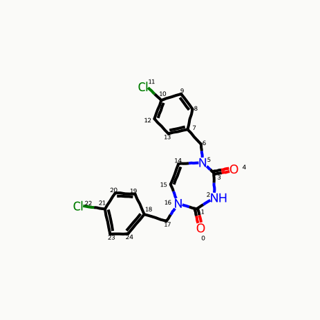 O=C1NC(=O)N(Cc2ccc(Cl)cc2)C=CN1Cc1ccc(Cl)cc1